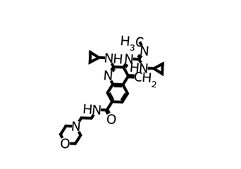 C=C1/C(=N\C(=N/C)NC2CC2)C(NC2CC2)=Nc2cc(C(=O)NCCN3CCOCC3)ccc21